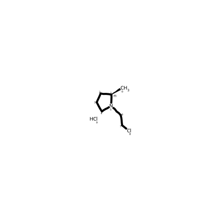 C[C@@H]1CCCN1CCCl.Cl